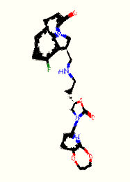 O=C1O[C@@H](CCNC[C@@H]2Cn3c(=O)ccc4ccc(F)c2c43)CN1c1ccc2c(n1)OCCO2